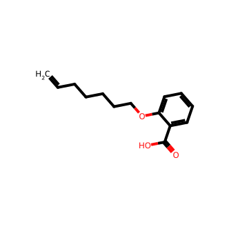 C=CCCCCCOc1ccccc1C(=O)O